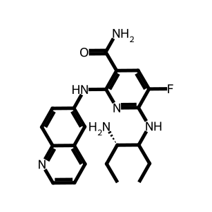 CCC(Nc1nc(Nc2ccc3ncccc3c2)c(C(N)=O)cc1F)[C@@H](N)CC